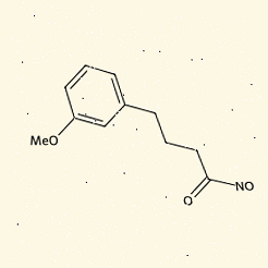 COc1cccc(CCCC(=O)N=O)c1